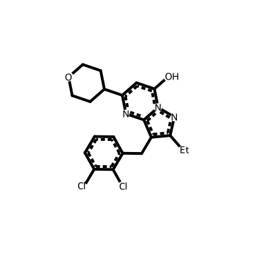 CCc1nn2c(O)cc(C3CCOCC3)nc2c1Cc1cccc(Cl)c1Cl